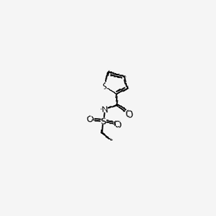 CCS(=O)(=O)[N]C(=O)c1cccs1